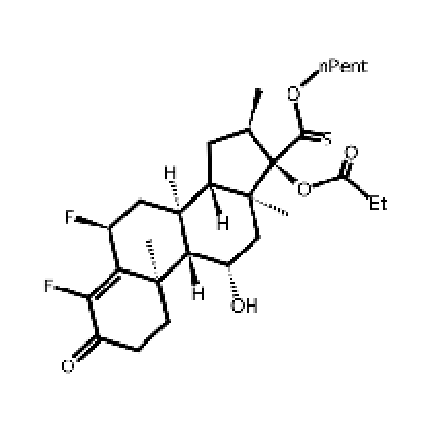 CCCCCOC(=S)[C@@]1(OC(=O)CC)[C@H](C)C[C@H]2[C@@H]3C[C@H](F)C4=C(F)C(=O)CC[C@]4(C)[C@H]3[C@@H](O)C[C@@]21C